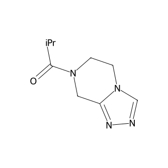 CC(C)C(=O)N1CCn2cnnc2C1